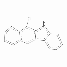 Clc1c2ccccc2cc2c1[nH]c1ccccc12